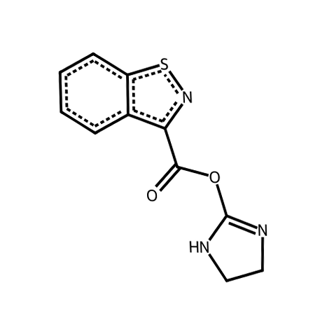 O=C(OC1=NCCN1)c1nsc2ccccc12